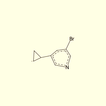 Brc1cncc(C2[CH]C2)c1